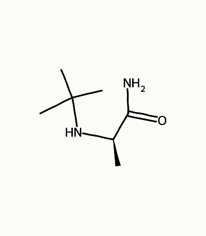 C[C@@H](NC(C)(C)C)C(N)=O